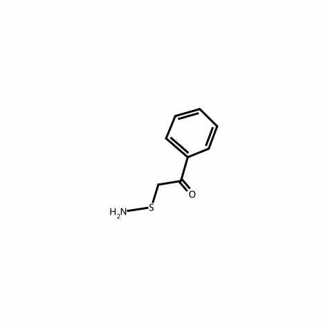 NSCC(=O)c1ccccc1